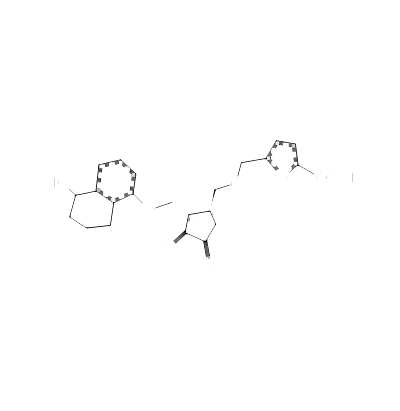 O=C1C[C@H](COCc2ccc(C(=O)O)o2)[C@@H](COc2cccc3c2CCCC3O)C1=O